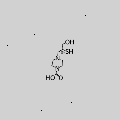 O=C(O)N1CCN(C[C@H](S)CO)CC1